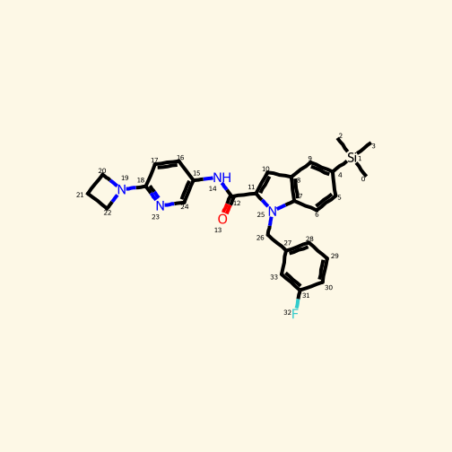 C[Si](C)(C)c1ccc2c(c1)cc(C(=O)Nc1ccc(N3CCC3)nc1)n2Cc1cccc(F)c1